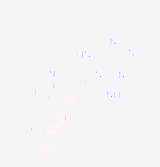 CC(Nc1nc(N)nc2[nH]cnc12)c1ccc2ccccc2c1-c1cncc(F)c1.O=C(O)C(F)(F)F.O=C(O)C(F)(F)F